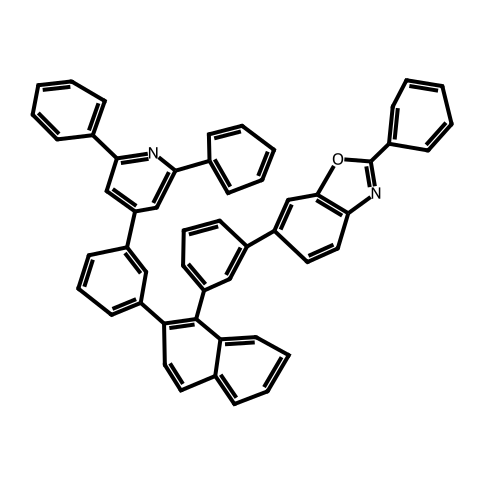 c1ccc(-c2cc(-c3cccc(-c4ccc5ccccc5c4-c4cccc(-c5ccc6nc(-c7ccccc7)oc6c5)c4)c3)cc(-c3ccccc3)n2)cc1